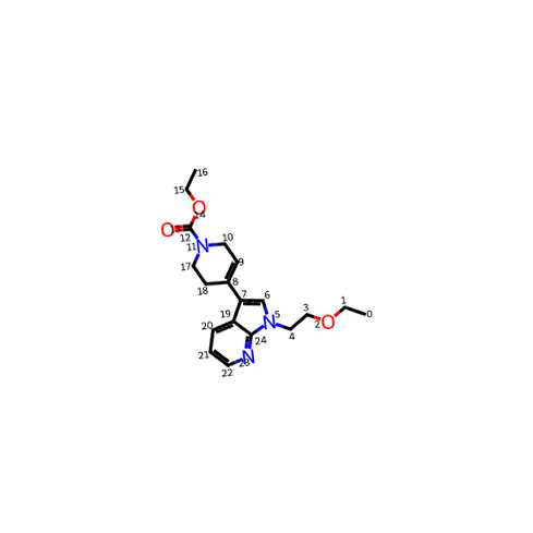 CCOCCn1cc(C2=CCN(C(=O)OCC)CC2)c2cccnc21